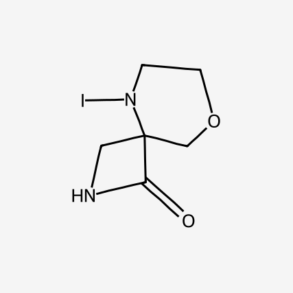 O=C1NCC12COCCN2I